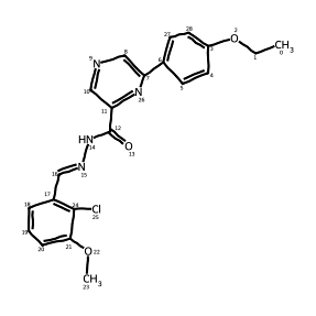 CCOc1ccc(-c2cncc(C(=O)NN=Cc3cccc(OC)c3Cl)n2)cc1